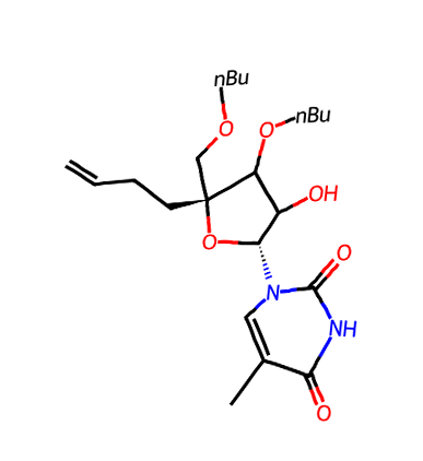 C=CCC[C@]1(COCCCC)O[C@@H](n2cc(C)c(=O)[nH]c2=O)C(O)C1OCCCC